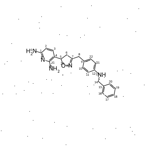 Nc1ccc(C2CC(Cc3ccc(NCc4ccccc4)cc3)=NO2)c(N)n1